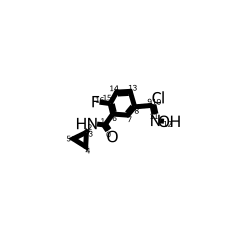 O=C(NC1CC1)c1cc(C(Cl)=NO)ccc1F